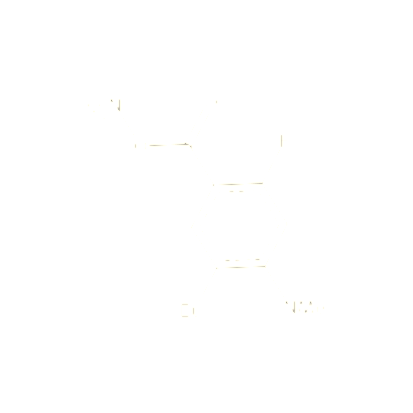 CCc1cc(C(=O)O[N+](=O)[O-])c(F)cc1NC